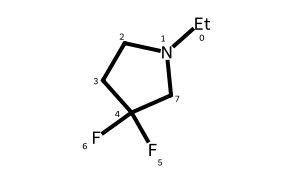 [CH2]CN1CCC(F)(F)C1